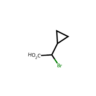 O=C(O)C(Br)C1CC1